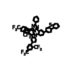 FC(F)(F)c1ccc(-c2ccc3c(c2)c2cc(-c4ccc(C(F)(F)F)cc4C(F)(F)F)ccc2n3-c2ccc(-c3ccc4c(c3)sc3ccccc34)cc2-c2nc(-c3ccccc3)nc(-c3ccccc3)n2)c(C(F)(F)F)c1